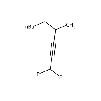 CCCCCC(C)C#CC(F)F